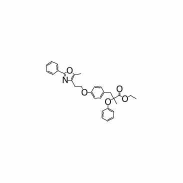 CCOC(=O)C(C)(Cc1ccc(OCCc2nc(-c3ccccc3)oc2C)cc1)Oc1ccccc1